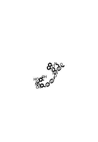 C=CC(=O)N1CCN(c2nc(OCCN3CCN(C4CCN(Cc5ccc(-n6c(O)nnc6-c6cc(C)c(O)cc6O)cc5)CC4)CC3)nc3c2CCN(c2cccc4cccc(Cl)c24)C3)CC1CC#N